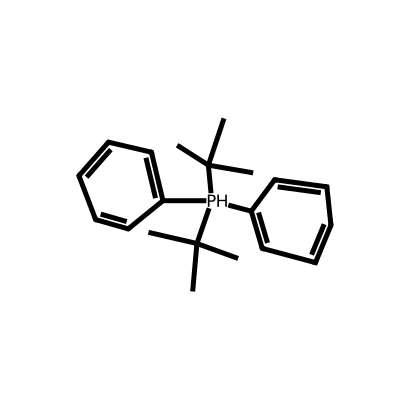 CC(C)(C)[PH](c1ccccc1)(c1ccccc1)C(C)(C)C